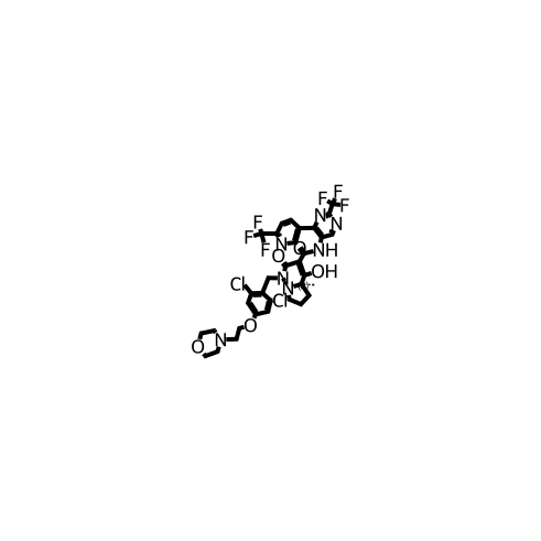 C[C@]12CCCN1N(Cc1c(Cl)cc(OCCN3CCOCC3)cc1Cl)C(=O)C(C(=O)Nc1cnc(C(F)(F)F)nc1-c1ccc(C(F)(F)F)nc1)=C2O